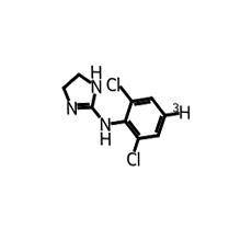 [3H]c1cc(Cl)c(NC2=NCCN2)c(Cl)c1